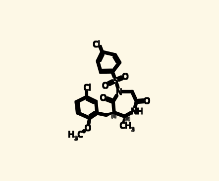 COc1ccc(Cl)cc1C[C@H]1C(=O)N(S(=O)(=O)c2ccc(Cl)cc2)CC(=O)N[C@@H]1C